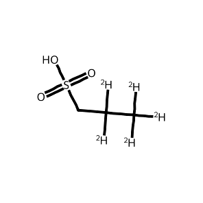 [2H]C([2H])([2H])C([2H])([2H])CS(=O)(=O)O